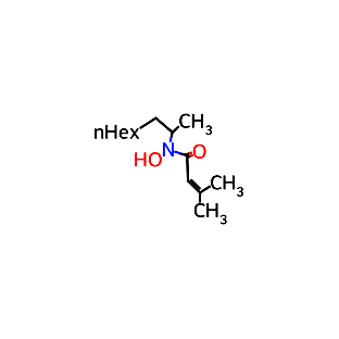 CCCCCCCC(C)N(O)C(=O)C=C(C)C